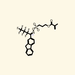 C=C(C)C(=O)OCCCS(=O)(=O)O/N=C(/c1ccc2c(c1)Cc1ccccc1-2)C(F)(F)C(F)(F)C(F)(F)F